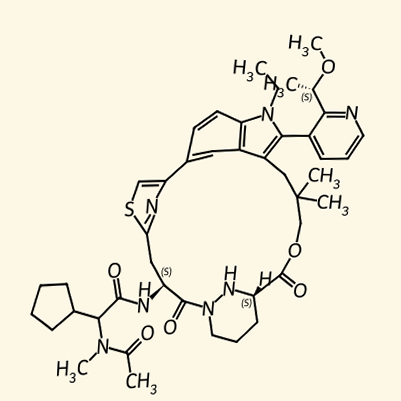 CCn1c(-c2cccnc2[C@H](C)OC)c2c3cc(ccc31)-c1csc(n1)C[C@H](NC(=O)C(C1CCCC1)N(C)C(C)=O)C(=O)N1CCC[C@H](N1)C(=O)OCC(C)(C)C2